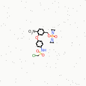 O=[N+]([O-])c1ccc(COP(=O)(N2CC2)N2CC2)cc1Oc1ccc(NS(=O)(=O)CCl)cc1